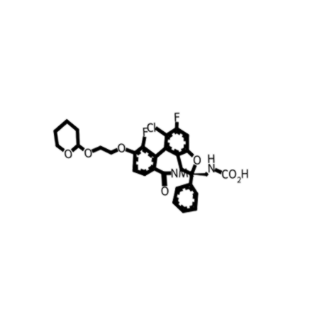 CNC(=O)c1ccc(OCCOC2CCCCO2)c(F)c1-c1c(Cl)c(F)cc2c1C[C@@](CNC(=O)O)(c1ccccc1)O2